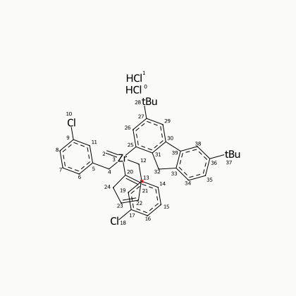 Cl.Cl.[CH2]=[Zr]([CH2]c1cccc(Cl)c1)([CH2]c1cccc(Cl)c1)([C]1=CC=CC1)[c]1cc(C(C)(C)C)cc2c1Cc1ccc(C(C)(C)C)cc1-2